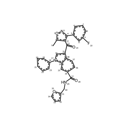 Cc1onc(-c2cccc(F)c2)c1C(=O)c1cn(-c2ccccc2)c2cc(C(=O)NCc3ccco3)ccc12